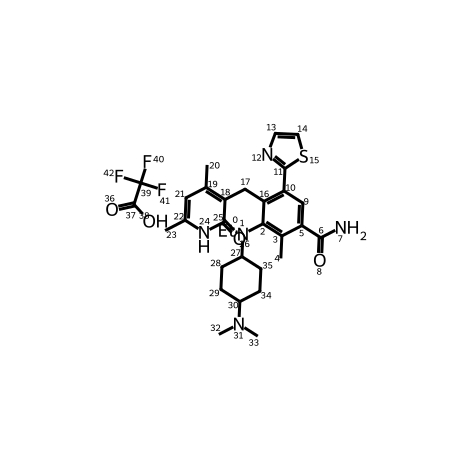 CCN(c1c(C)c(C(N)=O)cc(-c2nccs2)c1Cc1c(C)cc(C)[nH]c1=O)C1CCC(N(C)C)CC1.O=C(O)C(F)(F)F